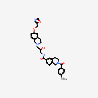 COc1ccc(C(=O)N2CCc3cc(C(=O)NCC(O)CN4CCc5cc(OCc6cnco6)ccc5C4)ccc3C2)cc1